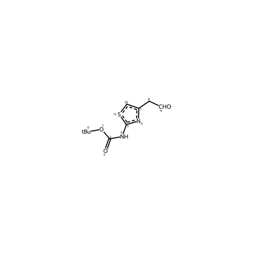 CC(C)(C)OC(=O)Nc1nc(C[C]=O)cs1